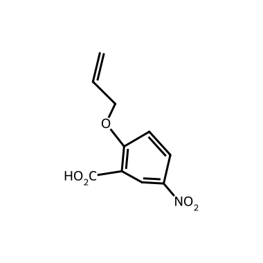 C=CCOc1ccc([N+](=O)[O-])cc1C(=O)O